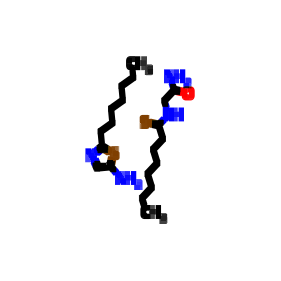 CCCCCCCC(=S)NCC(N)=O.CCCCCCCc1ncc(N)s1